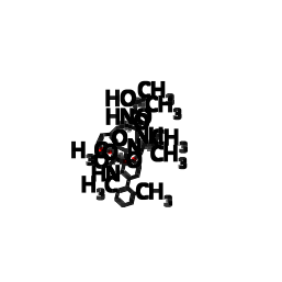 COC(=O)c1nc2oc1[C@]13c4cc(ccc4OC1Nc1c(-c4c(C)cccc4C)cccc13)C[C@H](NC(=O)[C@@H](O)C(C)C)C(=O)N[C@H]2C(C)C